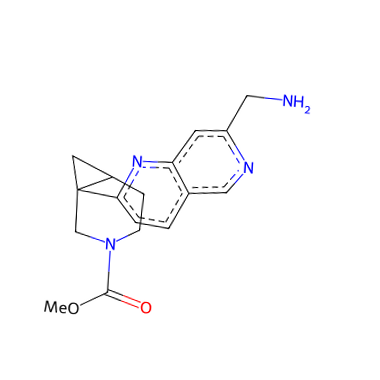 COC(=O)N1CCC2CC2(c2ccc3cnc(CN)cc3n2)C1